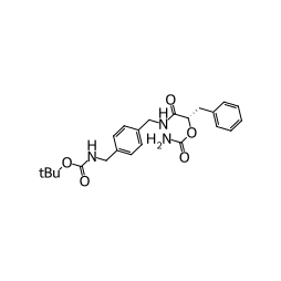 CC(C)(C)OC(=O)NCc1ccc(CNC(=O)[C@H](Cc2ccccc2)OC(N)=O)cc1